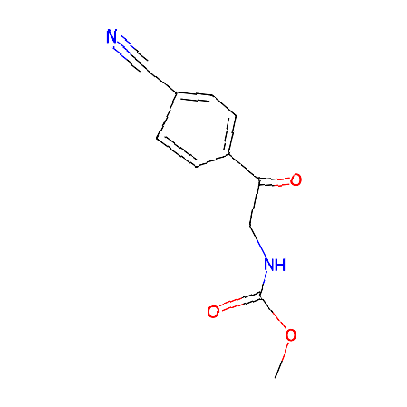 COC(=O)NCC(=O)c1ccc(C#N)cc1